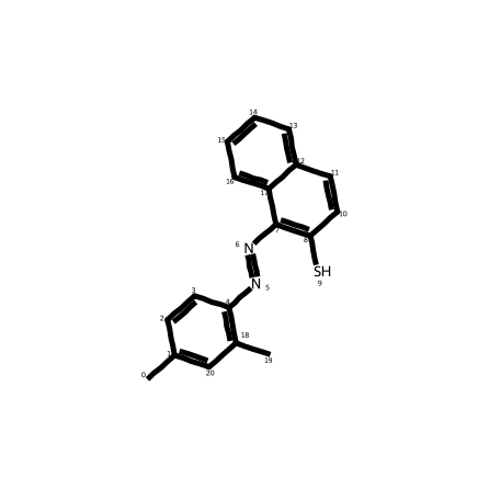 Cc1ccc(N=Nc2c(S)ccc3ccccc23)c(C)c1